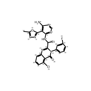 CCC(Nc1ncnc(N)c1-c1nnc(C)o1)c1nc2cccc(Cl)c2c(=O)n1-c1cccc(F)c1